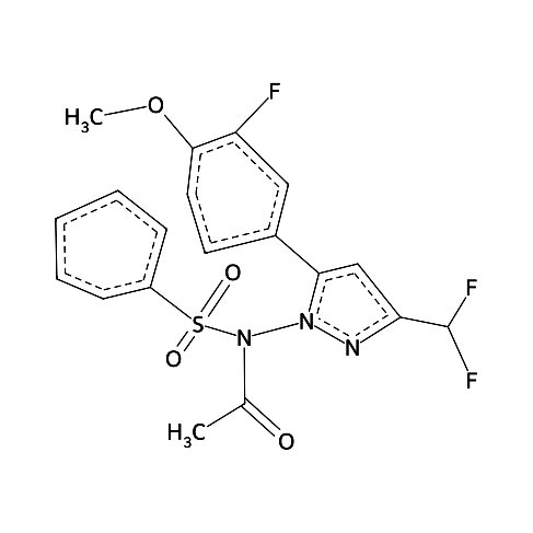 COc1ccc(-c2cc(C(F)F)nn2N(C(C)=O)S(=O)(=O)c2ccccc2)cc1F